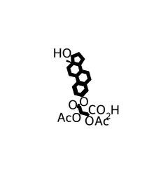 CC(=O)O[C@H](C(=O)O)[C@@H](OC(C)=O)C(=O)Oc1ccc2c(c1)CCC1C2CC[C@@]2(C)C1CC[C@@H]2O